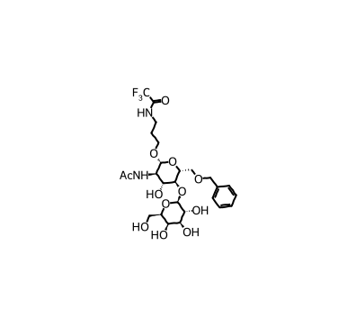 CC(=O)N[C@H]1[C@H](OCCCNC(=O)C(F)(F)F)O[C@H](COCc2ccccc2)[C@@H](O[C@@H]2O[C@H](CO)[C@H](O)[C@H](O)[C@H]2O)[C@@H]1O